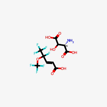 N[C@H](C(=O)O)C(O)C(=O)O.O=C(O)C=CC(F)(OC(F)(F)F)C(F)(F)F